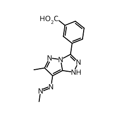 CN=Nc1c(C)nn2c(-c3cccc(C(=O)O)c3)n[nH]c12